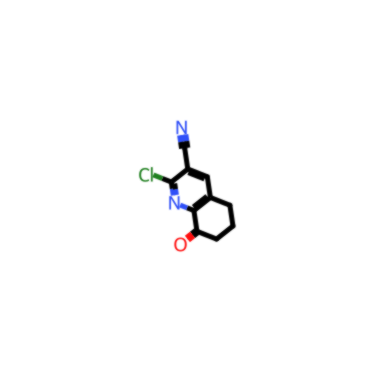 N#Cc1cc2c(nc1Cl)C(=O)CCC2